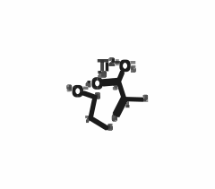 C=C(C)C(=O)[O-].CCC[O-].[Ti+2]